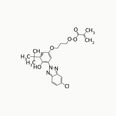 C=C(C)C(=O)OOCCCOc1cc(-n2nc3ccc(Cl)cc3n2)c(O)c(C(C)(C)C)c1